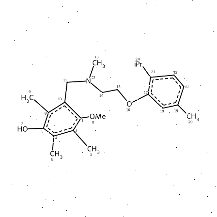 COc1c(C)c(C)c(O)c(C)c1CN(C)CCOc1cc(C)ccc1C(C)C